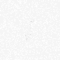 Fc1ccc(CC2CCC2Cc2ccc(F)cc2)cc1